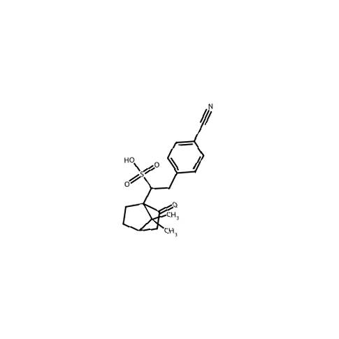 CC1(C)C2CCC1(C(Cc1ccc(C#N)cc1)S(=O)(=O)O)C(=O)C2